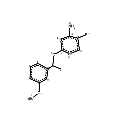 CCCCOc1cccc(C(C)Oc2ncc(F)c(N)n2)c1